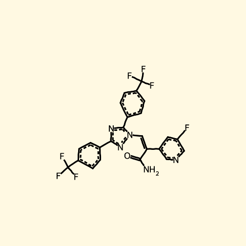 NC(=O)C(=Cn1nc(-c2ccc(C(F)(F)F)cc2)nc1-c1ccc(C(F)(F)F)cc1)c1cncc(F)c1